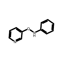 c1ccc(NOc2cccnc2)cc1